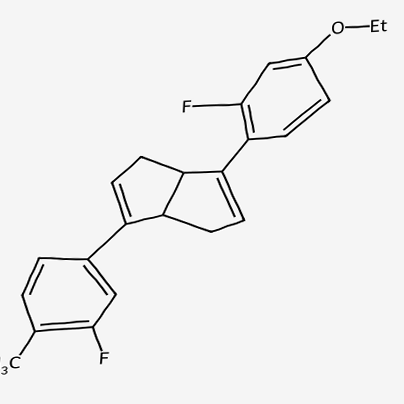 CCOc1ccc(C2=CCC3C(c4ccc(C)c(F)c4)=CCC23)c(F)c1